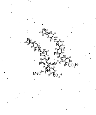 COCCn1c(Cc2cc(F)c(-c3cccc(OCc4ccc(-n5ccnn5)cc4F)n3)cc2F)nc2ccc(C(=O)O)c(F)c21.COCCn1c(Cc2cc(F)c(-c3cccc(OCc4ccc(-n5ccnn5)cc4F)n3)cc2F)nc2ccc(C(=O)O)c(F)c21